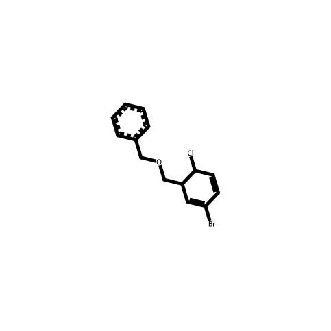 ClC1C=CC(Br)=C[C]1COCc1ccccc1